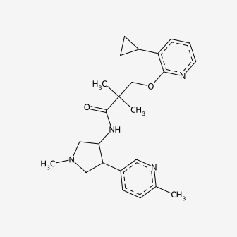 Cc1ccc(C2CN(C)CC2NC(=O)C(C)(C)COc2ncccc2C2CC2)cn1